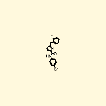 O=C(Nc1ccc(Br)cc1)c1csc(Cc2ccccc2F)n1